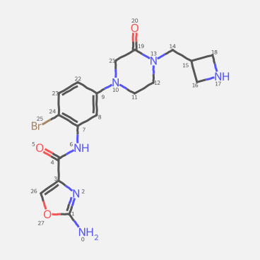 Nc1nc(C(=O)Nc2cc(N3CCN(CC4CNC4)C(=O)C3)ccc2Br)co1